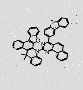 CC1(C)c2ccccc2N(c2nc(-c3ccc4sc5ccccc5c4c3)c3ccc4ccccc4c3n2)c2c1c1ccccc1c1c2oc2ccccc21